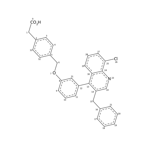 O=C(O)Cc1ccc(COc2cccc(-c3c(Cc4ccccc4)cnc4c(Cl)cccc34)c2)cc1